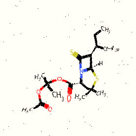 CCC(C)[C@@H]1C(=S)N2[C@@H]1SC(C)(C)[C@@H]2C(=O)OC(C)(C)OC(C)=O